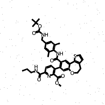 CCCNC(=O)c1ccc(-c2cc3c(cc2C(=O)Nc2c(C)cc(CNC(=O)OC(C)(C)C)cc2C)-c2sccc2CCO3)c(C(=O)OC)n1